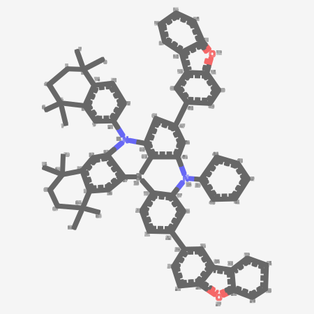 CC1(C)CCC(C)(C)c2cc(N3c4cc5c(cc4B4c6ccc(-c7ccc8oc9ccccc9c8c7)cc6N(c6ccccc6)c6cc(-c7ccc8oc9ccccc9c8c7)cc3c64)C(C)(C)CCC5(C)C)ccc21